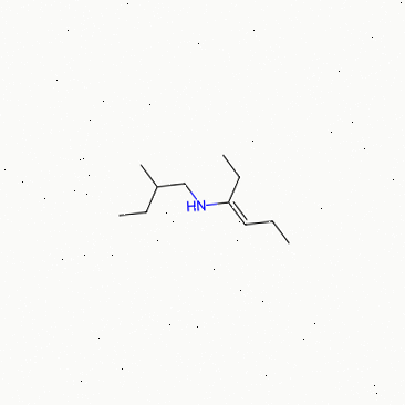 CC/C=C(\CC)NCC(C)CC